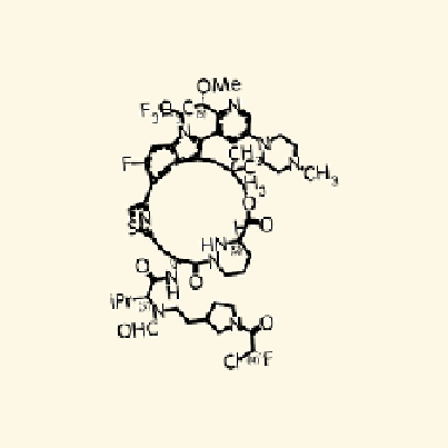 CO[C@@H](C)c1ncc(N2CCN(C)CC2)cc1-c1c2c3cc(c(F)cc3n1CC(F)(F)F)-c1csc(n1)C[C@H](NC(=O)[C@H](C(C)C)N(C=O)CCC1CCN(C(=O)[C@H](F)Cl)C1)C(=O)N1CCC[C@H](N1)C(=O)OCC(C)(C)C2